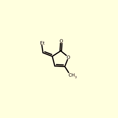 CCC=C1C=C(C)OC1=O